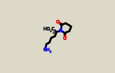 NCCCC[C@@H](C(=O)O)N1C(=O)CCCC1=O